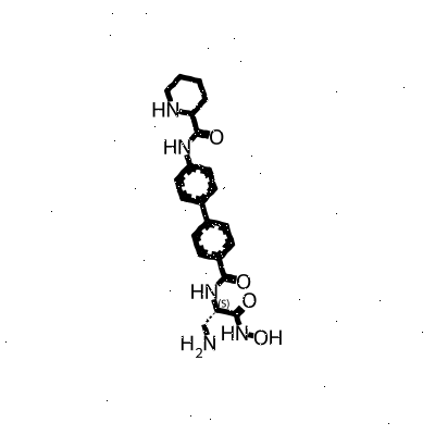 NC[C@H](NC(=O)c1ccc(-c2ccc(NC(=O)C3CCCCN3)cc2)cc1)C(=O)NO